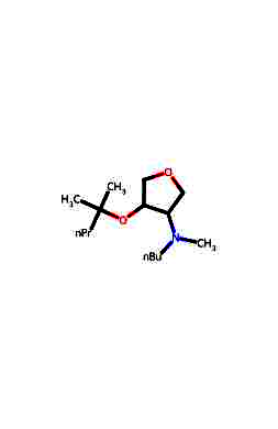 CCCCN(C)C1COCC1OC(C)(C)CCC